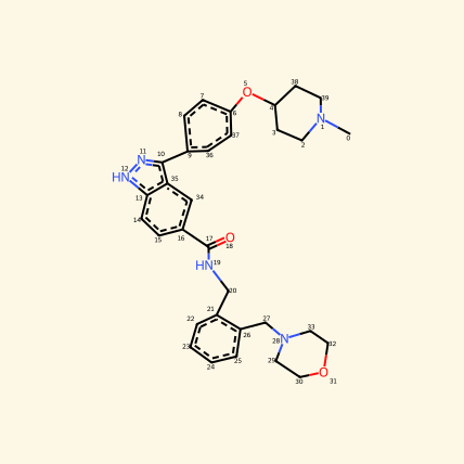 CN1CCC(Oc2ccc(-c3n[nH]c4ccc(C(=O)NCc5ccccc5CN5CCOCC5)cc34)cc2)CC1